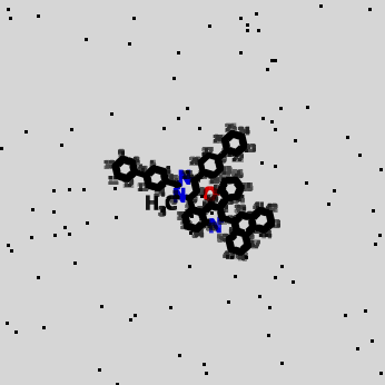 CN1C(c2ccc(-c3ccccc3)cc2)=NC(C2=CC=C(c3ccccc3)CC2)=CC1c1cccc2nc(-c3cc4ccccc4c4ccccc34)c3c4ccccc4oc3c12